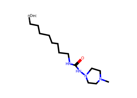 CCCCCCCCCCCCCCCCCCNC(=O)NN1CCN(C)CC1